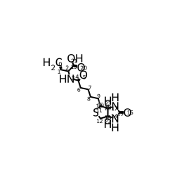 C=CC(NC(=O)CCCC[C@@H]1SC[C@@H]2NC(=O)N[C@@H]21)C(=O)O